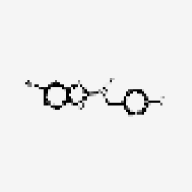 [O-][S+](Cc1ccc(Cl)cc1)c1nc2cc(Br)ccc2o1